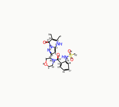 Cc1[nH]c2cc([C@@H]3COCCN3C(=O)c3ccccc3NS(C)(=O)=O)nn2c(=O)c1C